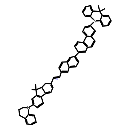 CC1(C)c2ccccc2N(c2ccc3c(ccc4cc(-c5ccc6cc(/C=C/C7=CC=C8c9ccc(N%10CCCc%11ccccc%11%10)cc9C(C)(C)C8C7)ccc6c5)ccc43)c2)c2ccccc21